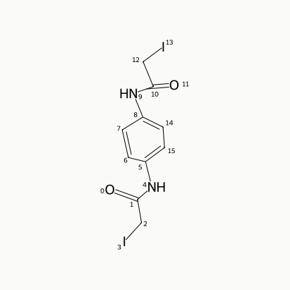 O=C(CI)Nc1ccc(NC(=O)CI)cc1